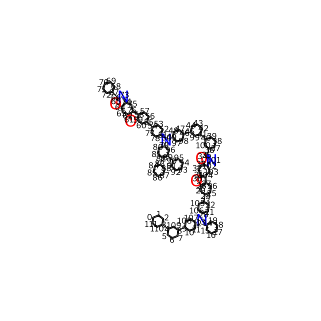 c1ccc(-c2cccc(-c3ccc(N(c4ccccc4)c4ccc(-c5ccc6c(c5)oc5cc7oc(-c8cccc(-c9cccc(-c%10ccc(N(c%11ccc(-c%12ccc%13c(c%12)oc%12cc%14oc(-c%15ccccc%15)nc%14cc%12%13)cc%11)c%11ccc(-c%12ccccc%12)c(-c%12ccccc%12)c%11)cc%10)c9)c8)nc7cc56)cc4)cc3)c2)cc1